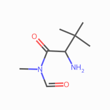 CN(C=O)C(=O)C(N)C(C)(C)C